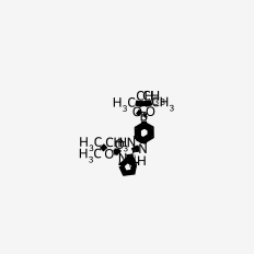 CC(C)(C)OC(=O)N1C2CC[C@@H](C2)[C@H]1c1nc2ccc(B3OC(C)(C)C(C)(C)O3)cc2[nH]1